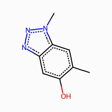 Cc1cc2c(cc1O)nnn2C